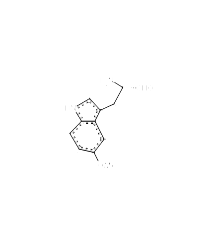 COc1ccc2[nH]cc(C[C@H](N)C=O)c2c1